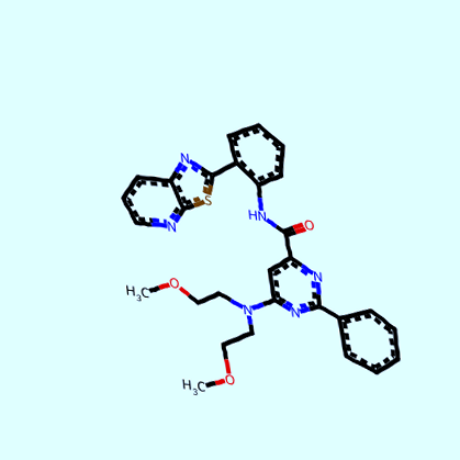 COCCN(CCOC)c1cc(C(=O)Nc2ccccc2-c2nc3cccnc3s2)nc(-c2ccccc2)n1